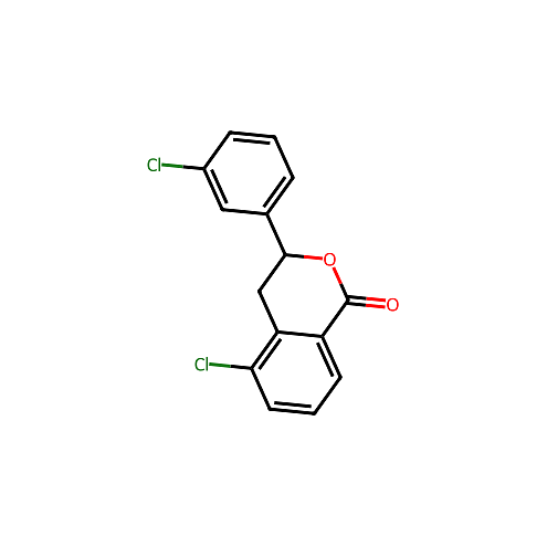 O=C1OC(c2cccc(Cl)c2)Cc2c(Cl)cccc21